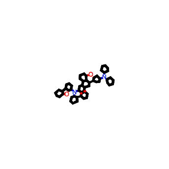 c1ccc(-c2ccccc2N(c2ccc3cc4c5c(cccc5c3c2)Oc2cc(N(c3ccccc3)c3ccccc3)ccc2-4)c2cccc3c2oc2ccccc23)cc1